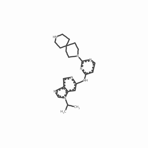 CC(C)n1cnc2cnc(Nc3ccnc(N4CCC5(CCNCC5)CC4)n3)cc21